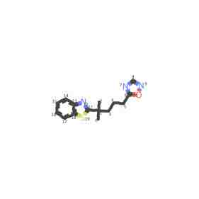 CC(C)(CCCc1ncno1)c1nc2ccccc2s1